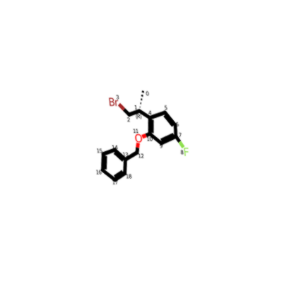 C[C@@H](CBr)c1ccc(F)cc1OCc1ccccc1